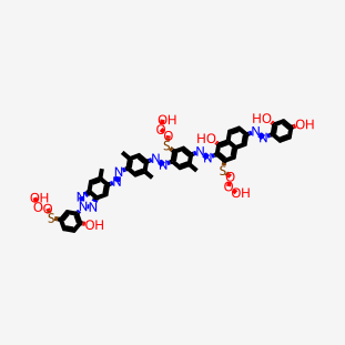 Cc1cc(N=Nc2cc(C)c(N=Nc3c(SOOO)cc4cc(N=Nc5ccc(O)cc5O)ccc4c3O)cc2SOOO)c(C)cc1N=Nc1cc2nn(-c3cc(SOOO)ccc3O)nc2cc1C